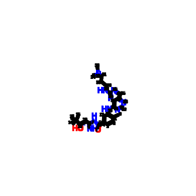 Cc1ccc(C(=O)NC(=N)/C=C(\O)C(C)(C)C)cc1Nc1ncnc2cnc(NCCCN(C)C)nc12